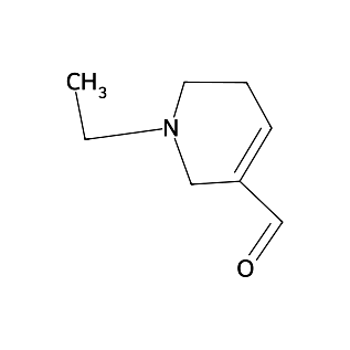 CCN1CCC=C(C=O)C1